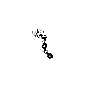 CC(C)(C)OC(=O)NC/C(=C\F)COc1ccc(-c2nc(-c3ccccc3)no2)cc1